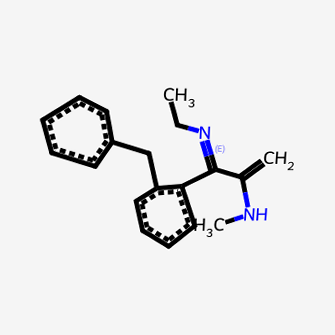 C=C(NC)/C(=N/CC)c1ccccc1Cc1ccccc1